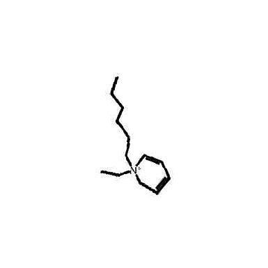 CCCCCC[N+]1(CC)C=CC=CC1